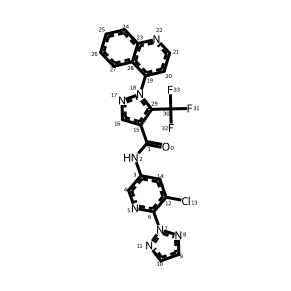 O=C(Nc1cnc(-n2nccn2)c(Cl)c1)c1cnn(-c2ccnc3ccccc23)c1C(F)(F)F